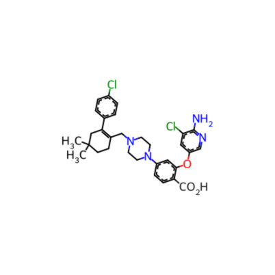 CC1(C)CCC(CN2CCN(c3ccc(C(=O)O)c(Oc4cnc(N)c(Cl)c4)c3)CC2)=C(c2ccc(Cl)cc2)C1